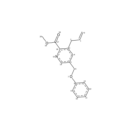 C=CCc1cc(COc2ccccc2)cnc1C(=O)OC